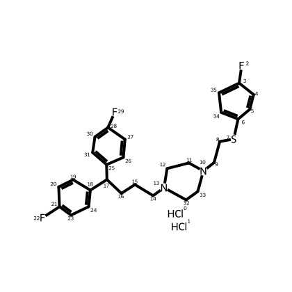 Cl.Cl.Fc1ccc(SCCN2CCN(CCCC(c3ccc(F)cc3)c3ccc(F)cc3)CC2)cc1